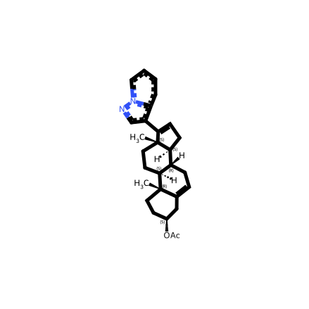 CC(=O)O[C@H]1CC[C@@]2(C)C(=CC[C@@H]3[C@@H]2CC[C@]2(C)C(c4cnn5ccccc45)=CC[C@@H]32)C1